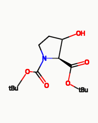 CC(C)(C)OC(=O)[C@@H]1C(O)CCN1C(=O)OC(C)(C)C